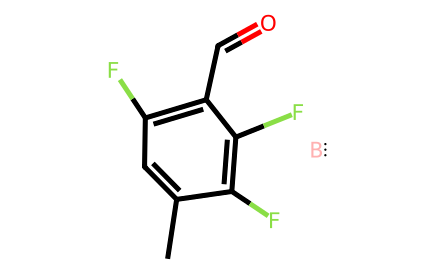 Cc1cc(F)c(C=O)c(F)c1F.[B]